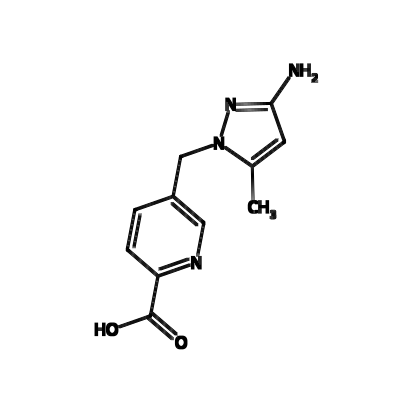 Cc1cc(N)nn1Cc1ccc(C(=O)O)nc1